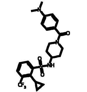 CN(C)c1ccc(C(=O)N2CCC(NS(=O)(=O)c3cccc(C(F)(F)F)c3C3CC3)CC2)cc1